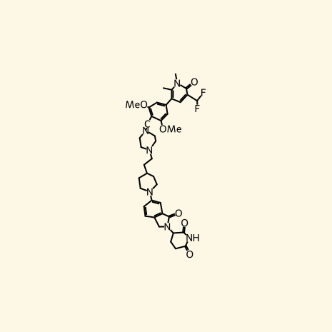 COc1cc(-c2cc(C(F)F)c(=O)n(C)c2C)cc(OC)c1CN1CCN(CCC2CCN(c3ccc4c(c3)C(=O)N(C3CCC(=O)NC3=O)C4)CC2)CC1